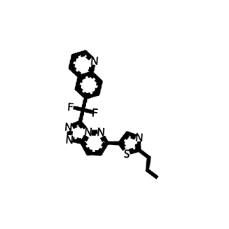 CCCc1ncc(-c2ccc3nnc(C(F)(F)c4ccc5ncccc5c4)n3n2)s1